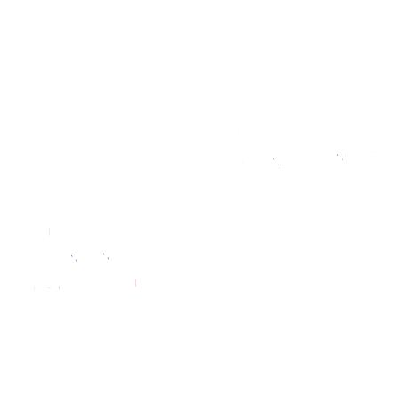 CCCCCN(O)N(O)CCCCCS(=O)(=O)N1CCN(C)CC1